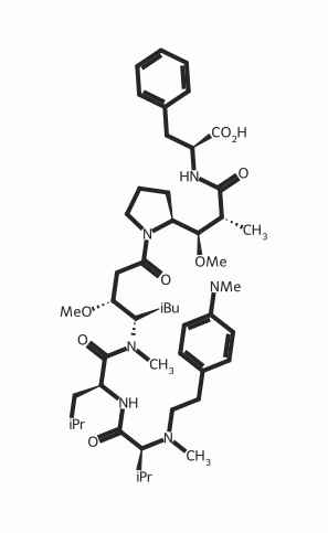 CC[C@H](C)[C@@H]([C@@H](CC(=O)N1CCC[C@H]1[C@H](OC)[C@@H](C)C(=O)N[C@@H](Cc1ccccc1)C(=O)O)OC)N(C)C(=O)[C@H](CC(C)C)NC(=O)[C@H](C(C)C)N(C)CCc1ccc(NC)cc1